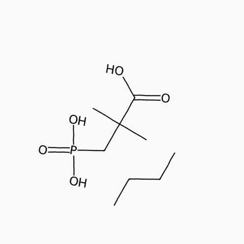 CC(C)(CP(=O)(O)O)C(=O)O.CCCC